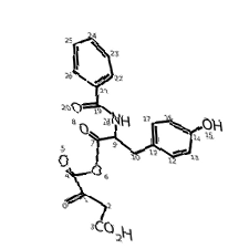 C=C(CC(=O)O)C(=O)OC(=O)C(Cc1ccc(O)cc1)NC(=O)c1ccccc1